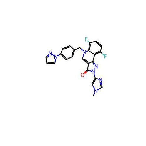 Cn1cnc(-n2nc3c4c(F)ccc(F)c4n(Cc4ccc(-n5cccn5)cc4)cc-3c2=O)c1